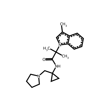 Cc1cn(C(C)(C)C(=O)NC2(CN3CCCC3)CC2)c2ccccc12